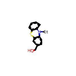 CCN1c2ccccc2Sc2cc(CO)ccc21